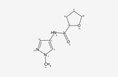 Cn1cc(NC(=O)C2CCCO2)cn1